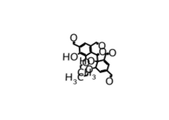 CCOc1c(O)c(C=O)cc(C=O)c1C(=O)C1(O)C(C=O)=CC(C=O)=CC1OCC